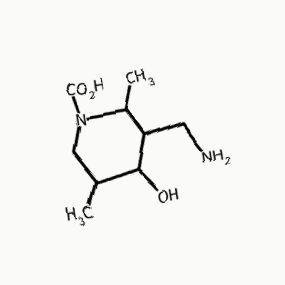 CC1CN(C(=O)O)C(C)C(CN)C1O